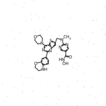 CN(Cc1cc2nc(-c3ccc4c(c3)OCCN4)nc(N3CCOCC3)c2s1)c1ncc(C(=O)NO)cn1